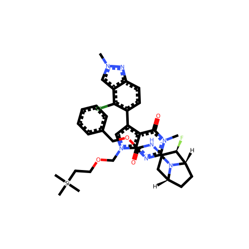 Cn1cc2c(Cl)c(-c3cn(COCC[Si](C)(C)C)c4nc(N5[C@@H]6CC[C@H]5[C@H](F)[C@H](NC(=O)OCc5ccccc5)C6)n(C)c(=O)c34)ccc2n1